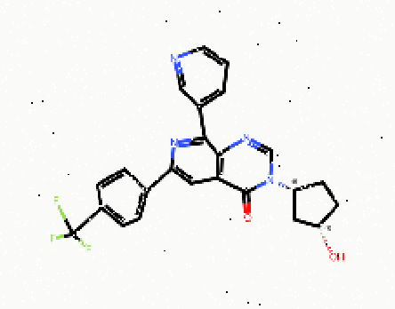 O=c1c2cc(-c3ccc(C(F)(F)F)cc3)nc(-c3cccnc3)c2ncn1[C@@H]1CC[C@H](O)C1